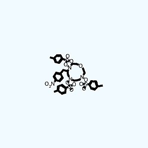 Cc1ccc(S(=O)(=O)ON2CCOCCN(OS(=O)(=O)c3ccc(C)cc3)C(Cc3ccc([N+](=O)[O-])cc3)CN(OS(=O)(=O)c3ccc(C)cc3)CC2)cc1